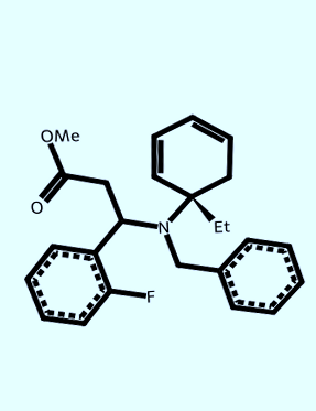 CC[C@@]1(N(Cc2ccccc2)C(CC(=O)OC)c2ccccc2F)C=CC=CC1